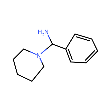 N[C](c1ccccc1)N1CCCCC1